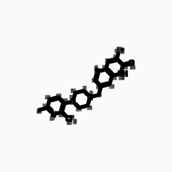 CCc1cc2ncc(CN3CCN(c4ccc(C)nc4C(F)(F)F)CC3)cc2[nH]c1=O